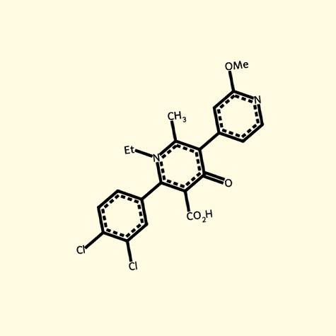 CCn1c(C)c(-c2ccnc(OC)c2)c(=O)c(C(=O)O)c1-c1ccc(Cl)c(Cl)c1